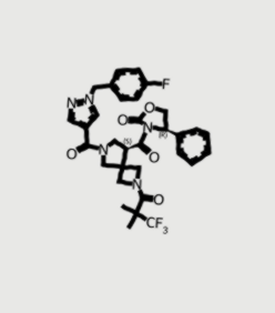 CC(C)(C(=O)N1CC2(CN(C(=O)c3cnn(Cc4ccc(F)cc4)c3)C[C@H]2C(=O)N2C(=O)OC[C@H]2c2ccccc2)C1)C(F)(F)F